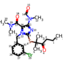 CCCC(=O)C(C)(C)Sc1nc(N(C)C=O)c(C(=O)N(C)C)n1Cc1cccc(Br)c1